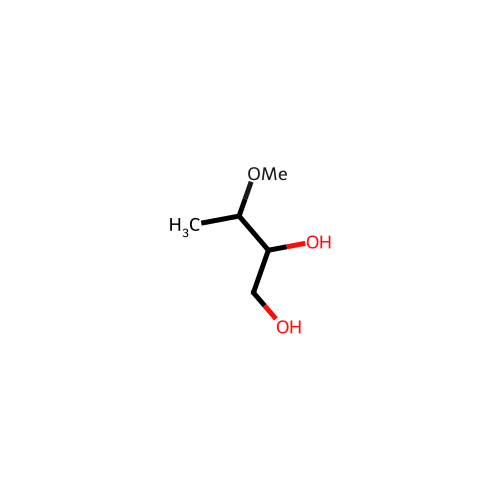 COC(C)C(O)CO